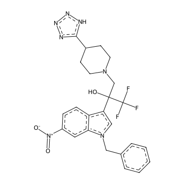 O=[N+]([O-])c1ccc2c(C(O)(CN3CCC(c4nnn[nH]4)CC3)C(F)(F)F)cn(Cc3ccccc3)c2c1